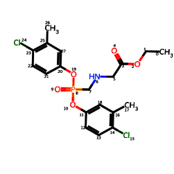 CCOC(=O)CNCP(=O)(Oc1ccc(Cl)c(C)c1)Oc1ccc(Cl)c(C)c1